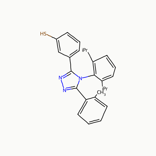 Cc1ccccc1-c1nnc(-c2cccc(S)c2)n1-c1c(C(C)C)cccc1C(C)C